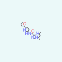 Cc1cc(C)n2cnc(C(=O)Nc3ccc(C4CCCO4)nc3)c2n1